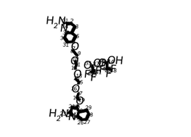 Nc1ccc2cc(OCCOCCOCCOCCOc3cc(N)nc4ccccc34)ccc2n1.O=C(O)C(F)(F)F.O=C(O)C(F)(F)F